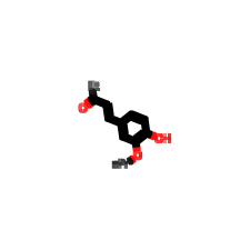 CCCOc1cc(/C=C/C(=O)CC)ccc1O